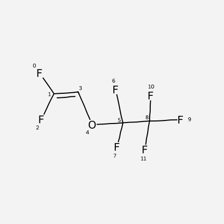 FC(F)=COC(F)(F)C(F)(F)F